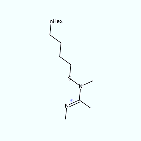 CCCCCCCCCCSN(C)/C(C)=N/C